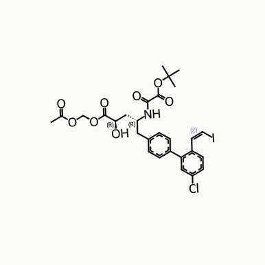 CC(=O)OCOC(=O)[C@H](O)C[C@@H](Cc1ccc(-c2cc(Cl)ccc2/C=C\I)cc1)NC(=O)C(=O)OC(C)(C)C